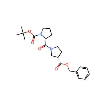 CC(C)(C)OC(=O)N1CCC[C@@H]1C(=O)N1CC[C@H](C(=O)OCc2ccccc2)C1